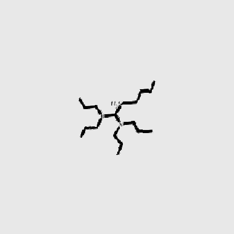 CC=CC[SiH2]C(N(CCC)CCC)N(CCC)CCC